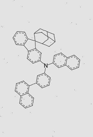 c1cc(-c2cccc3ccccc23)cc(N(c2ccc3c(c2)C2(c4ccccc4-3)C3CC4CC(C3)CC2C4)c2ccc3ccccc3c2)c1